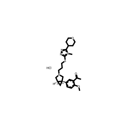 COc1ccc([C@@]23C[C@H]2CN(CCCSc2nnc(C4CCOCC4)n2C)C3)cc1C(C)=O.Cl